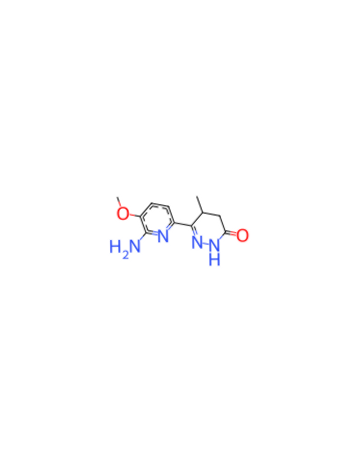 COc1ccc(C2=NNC(=O)CC2C)nc1N